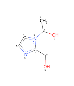 CC(O)n1ccnc1CO